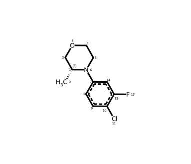 C[C@@H]1COCCN1c1ccc(Cl)c(F)c1